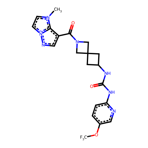 Cn1ccn2ncc(C(=O)N3CC4(CC(NC(=O)Nc5ccc(OC(F)(F)F)cn5)C4)C3)c12